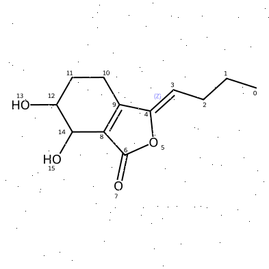 CCC/C=C1\OC(=O)C2=C1CCC(O)C2O